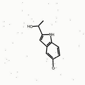 CC(O)c1cc2cc([O])ccc2[nH]1